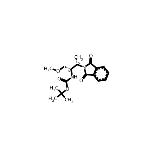 COC[C@@H](NC(=O)OC(C)(C)C)[C@H](C)N1C(=O)c2ccccc2C1=O